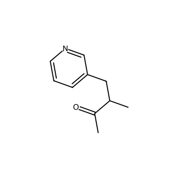 CC(=O)C(C)Cc1cccnc1